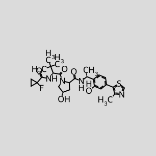 Cc1ncsc1-c1ccc([C@H](C)NC(=O)C2C[C@@H](O)CN2C(=O)[C@@H](NC(=O)C2(F)CC2)C(C)(C)C)c(O)c1